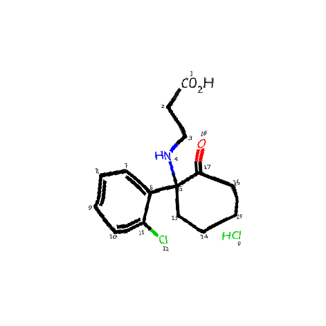 Cl.O=C(O)CCNC1(c2ccccc2Cl)CCCCC1=O